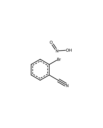 N#Cc1ccccc1Br.O=NO